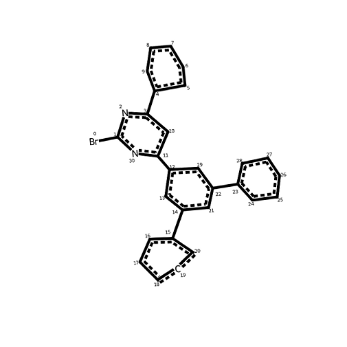 Brc1nc(-c2ccccc2)cc(-c2cc(-c3ccccc3)cc(-c3ccccc3)c2)n1